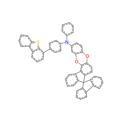 c1ccc(N(c2ccc(-c3cccc4c3sc3ccccc34)cc2)c2ccc3c(c2)Oc2c(ccc4c2-c2ccccc2C42c4ccccc4-c4ccccc42)O3)cc1